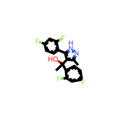 Cc1n[nH]c(-c2ccc(F)cc2F)c1C(C)(O)c1ccc(F)cc1F